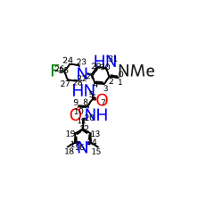 CN/C=C1/C=C(NC(=O)C2=COC(c3cc(C)nc(C)c3)N2)C(N2CCC(F)CC2)=CC1=N